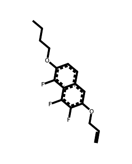 C=CCOc1cc2ccc(OCCCC)c(F)c2c(F)c1F